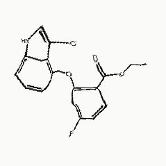 CCOC(=O)c1ccc(F)cc1Oc1cccc2[nH]cc(Cl)c12